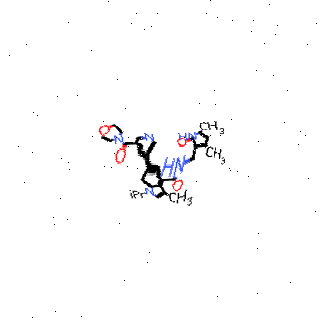 Cc1cc(C)c(CNC(=O)c2cc(-c3cncc(C(=O)N4CCOCC4)c3)cc3c2c(C)cn3C(C)C)c(=O)[nH]1